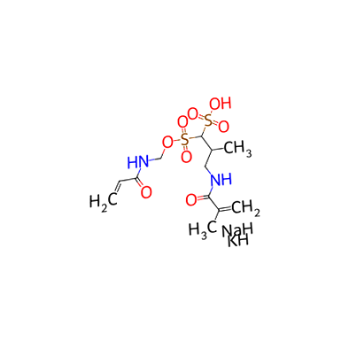 C=CC(=O)NCOS(=O)(=O)C(C(C)CNC(=O)C(=C)C)S(=O)(=O)O.[KH].[NaH]